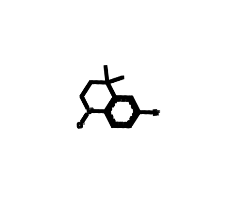 CC1(C)CC[S+]([O-])c2ccc(Br)cc21